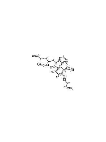 CCCCCCCCCCCCCCCc1cccc(C)c1C1C(CCOC=O)=C(C)NC(COCCN)=C1C(=O)OCC